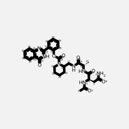 CC(=O)N[C@H](CC(N)=O)C(=O)N[C@@H](C)C(=O)NCC1CCCCN1C(=O)Oc1ccccc1-c1nc2ccccc2c(=O)[nH]1